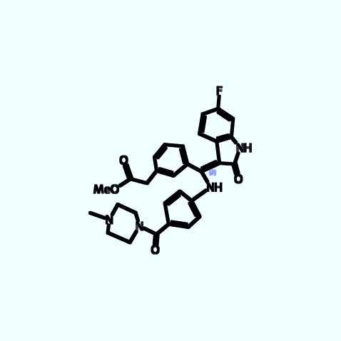 COC(=O)Cc1cccc(/C(Nc2ccc(C(=O)N3CCN(C)CC3)cc2)=C2/C(=O)Nc3cc(F)ccc32)c1